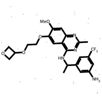 COc1cc2nc(C)nc(NC(C)c3cc(N)cc(C(F)(F)F)c3)c2cc1OCCOC1COC1